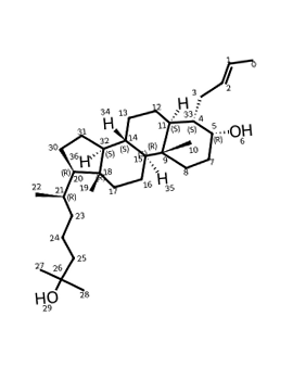 CC=CC[C@@H]1[C@H](O)CC[C@@]2(C)[C@H]1CC[C@@H]1[C@@H]2CC[C@]2(C)[C@@H]([C@H](C)CCCC(C)(C)O)CC[C@@H]12